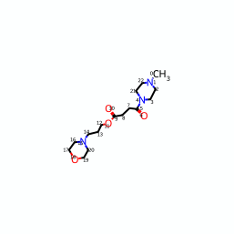 CN1CCN(C(=O)CCC(=O)OCCCN2CCOCC2)CC1